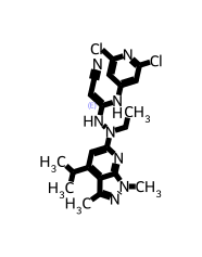 CCN(N/C(=C/C#N)Nc1cc(Cl)nc(Cl)c1)c1cc(C(C)C)c2c(C)nn(C)c2n1